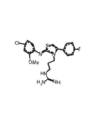 COc1cc(Cl)ccc1/N=c1\scc(-c2ccc(F)cc2)n1CCCNC(=N)N